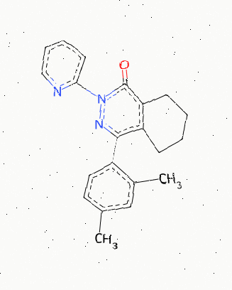 Cc1ccc(-c2nn(-c3ccccn3)c(=O)c3c2CCCC3)c(C)c1